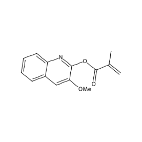 C=C(C)C(=O)Oc1nc2ccccc2cc1OC